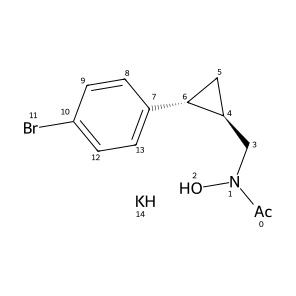 CC(=O)N(O)C[C@@H]1C[C@H]1c1ccc(Br)cc1.[KH]